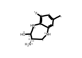 Cc1cc(F)c2c(c1)NC[C@H](N)C(O)N2